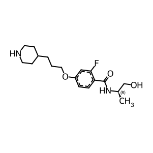 C[C@H](CO)NC(=O)c1ccc(OCCCC2CCNCC2)cc1F